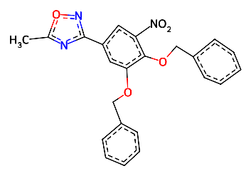 Cc1nc(-c2cc(OCc3ccccc3)c(OCc3ccccc3)c([N+](=O)[O-])c2)no1